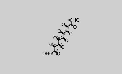 O=CC(=O)C(=O)C(=O)C(=O)C(=O)C(=O)C(=O)C(=O)C(=O)C=O